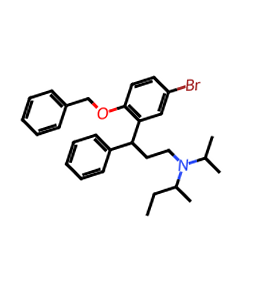 CCC(C)N(CCC(c1ccccc1)c1cc(Br)ccc1OCc1ccccc1)C(C)C